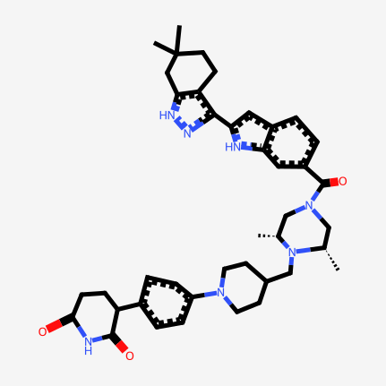 C[C@@H]1CN(C(=O)c2ccc3cc(-c4n[nH]c5c4CCC(C)(C)C5)[nH]c3c2)C[C@H](C)N1CC1CCN(c2ccc(C3CCC(=O)NC3=O)cc2)CC1